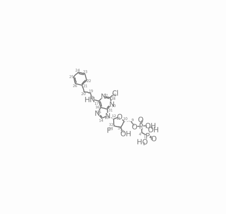 O=P(O)(O)CP(=O)(O)OC[C@H]1O[C@@H](n2cnc3c(NCCc4ccccc4)nc(Cl)nc32)[C@@H](F)[C@@H]1O